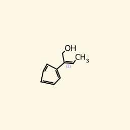 C/C=C(\CO)c1ccccc1